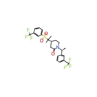 C[C@@H](c1cccc(C(F)(F)F)c1)N1CC[C@H](C(C)(C)S(=O)(=O)c2cccc(C(F)(F)F)c2)CC1=O